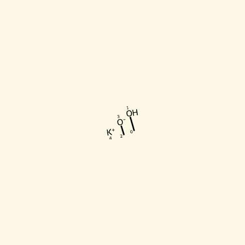 CO.C[O-].[K+]